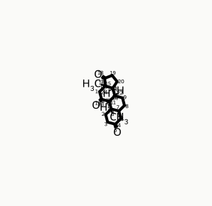 C[C@]12CCC(=O)CC1CC[C@@H]1[C@@H]2C(=O)C[C@]2(C)C(=O)CC[C@@H]12